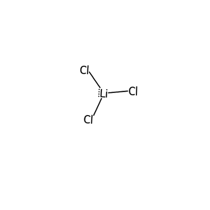 [Cl][Li]([Cl])[Cl]